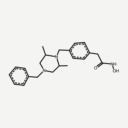 CC1CN(Cc2ccccc2)CC(C)N1Cc1ccc(CC(=O)NO)cc1